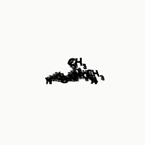 CCCCCC(c1ccc(C#N)c(C)c1)N1CCN(CCOc2cccc(C=CC#N)c2)CC1